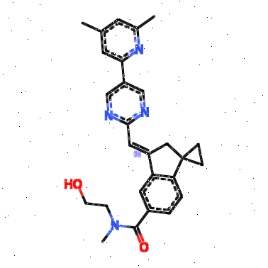 Cc1cc(C)nc(-c2cnc(/C=C3\CC4(CC4)c4ccc(C(=O)N(C)CCO)cc43)nc2)c1